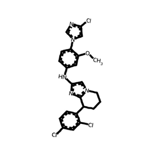 COc1cc(Nc2cn3c(n2)C(c2ccc(Cl)cc2Cl)CCC3)ccc1-n1cnc(Cl)c1